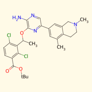 Cc1cc(-c2cnc(N)c(OC(C)c3c(Cl)ccc(C(=O)OC(C)(C)C)c3Cl)n2)cc2c1CCN(C)C2